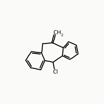 C=C1Cc2ccccc2C(Cl)c2ccccc21